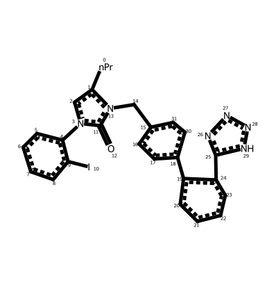 CCCc1cn(-c2ccccc2I)c(=O)n1Cc1ccc(-c2ccccc2-c2nnn[nH]2)cc1